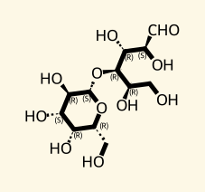 O=C[C@@H](O)[C@@H](O)[C@H](O[C@@H]1O[C@H](CO)[C@H](O)[C@H](O)[C@H]1O)[C@H](O)CO